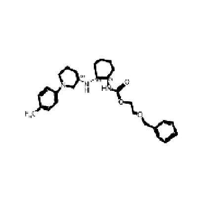 O=C(N[C@@H]1CCCC[C@H]1N[C@H]1CCCN(c2ccc(C(F)(F)F)cc2)C1)OCCOCc1ccccc1